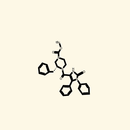 CC(C)(C)OC(=O)N1CCN(C(=O)c2[nH]c(=O)n(-c3ccccc3)c2-c2ccccc2)[C@H](Cc2ccccc2)C1